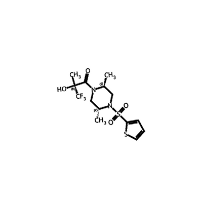 C[C@@H]1CN(C(=O)[C@@](C)(O)C(F)(F)F)[C@@H](C)CN1S(=O)(=O)c1cccs1